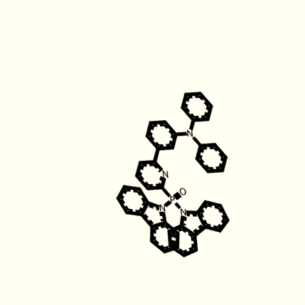 O=P(c1cccc(-c2cccc(N(c3ccccc3)c3ccccc3)c2)n1)(n1c2ccccc2c2ccccc21)n1c2ccccc2c2ccccc21